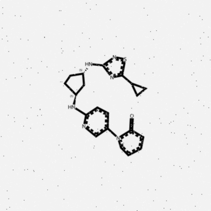 O=c1ccccn1-c1ccc(N[C@H]2CC[C@H](Nc3nsc(C4CC4)n3)C2)nc1